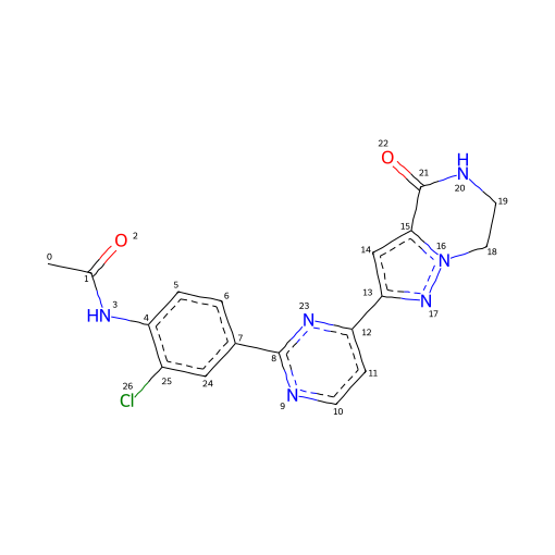 CC(=O)Nc1ccc(-c2nccc(-c3cc4n(n3)CCNC4=O)n2)cc1Cl